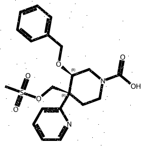 CS(=O)(=O)OC[C@]1(c2ccccn2)CCN(C(=O)O)C[C@@H]1OCc1ccccc1